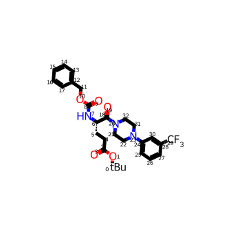 CC(C)(C)OC(=O)CC[C@H](NC(=O)OCc1ccccc1)C(=O)N1CCN(c2cccc(C(F)(F)F)c2)CC1